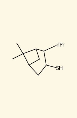 CCCC1C(S)CC2CC1C2(C)C